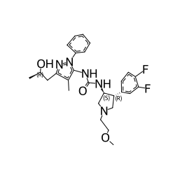 COCCN1C[C@@H](NC(=O)Nc2c(C)c(C[C@@H](C)O)nn2-c2ccccc2)[C@H](c2ccc(F)c(F)c2)C1